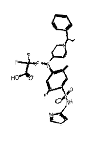 Cc1cc(S(=O)(=O)Nc2cscn2)c(F)cc1N(C)C1CCN([C@H](C)c2ccccc2)CC1.O=C(O)C(F)(F)F